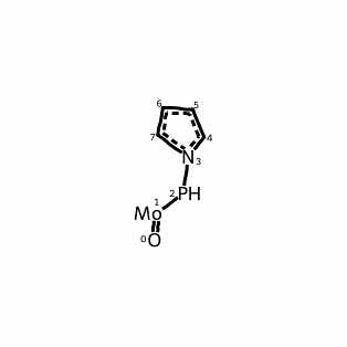 [O]=[Mo][PH]n1cccc1